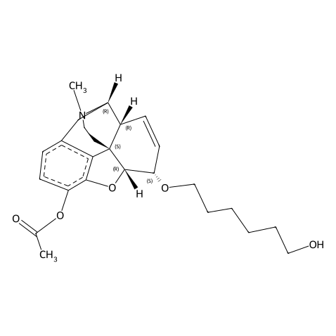 CC(=O)Oc1ccc2c3c1O[C@H]1[C@@H](OCCCCCCO)C=C[C@H]4[C@@H](C2)N(C)CC[C@@]341